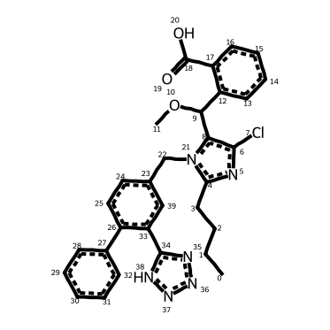 CCCCc1nc(Cl)c(C(OC)c2ccccc2C(=O)O)n1Cc1ccc(-c2ccccc2)c(-c2nnn[nH]2)c1